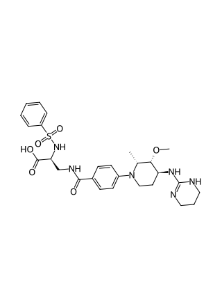 CO[C@@H]1[C@@H](NC2=NCCCN2)CCN(c2ccc(C(=O)NC[C@H](NS(=O)(=O)c3ccccc3)C(=O)O)cc2)[C@@H]1C